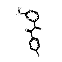 CC(C)Nc1nccc(C(=O)C(=O)c2ccc(F)cc2)n1